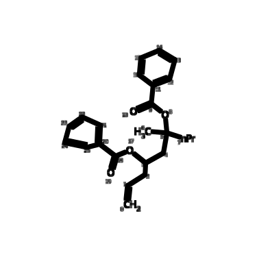 C=CCC(CC(C)(CCC)OC(=O)c1ccccc1)OC(=O)c1ccccc1